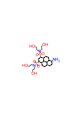 Nc1ccc2ccc3c(S(=O)(=O)N(CCO)CCO)cc(S(=O)(=O)N(CCO)CCO)c4ccc1c2c34